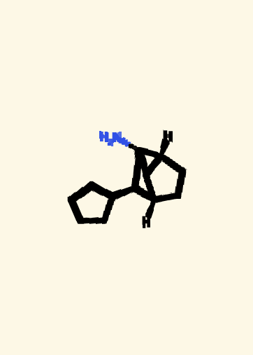 N[C@@]12C3[C@H]1CC[C@@H]3[C@H]2C1CCCC1